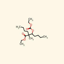 CCCCC(OC(=O)OCC)C(C)(CCCC)C(=O)OCC